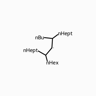 CCCCCCCC([CH]C(CCCCCC)CCCCCCC)CCCC